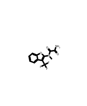 CN(C(=O)C(N)=O)c1oc2ccccc2c1C(F)(F)F